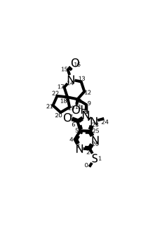 CSc1ncc2c(=O)n(CC3(O)CCN([C]=O)CC34CCCC4)n(C)c2n1